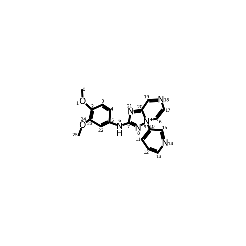 COc1ccc(NC2=N[N+]3(c4cccnc4)C=CN=CC3=N2)cc1OC